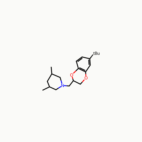 CC1CC(C)CN(CC2COc3cc(C(C)(C)C)ccc3O2)C1